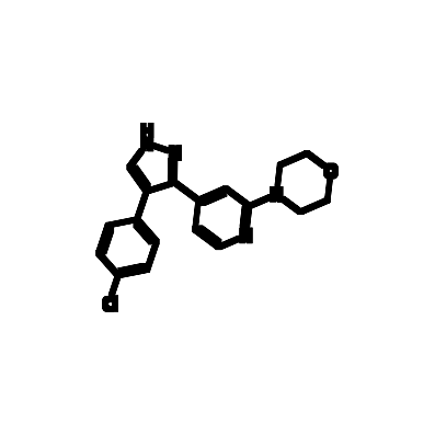 Clc1ccc(-c2c[nH]nc2-c2ccnc(N3CCOCC3)c2)cc1